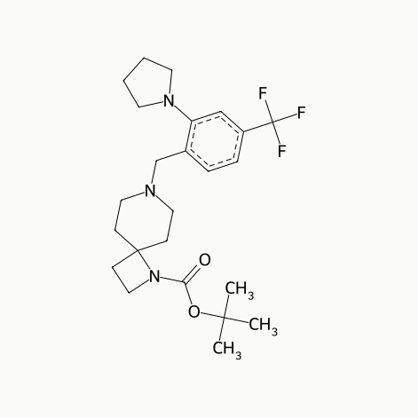 CC(C)(C)OC(=O)N1CCC12CCN(Cc1ccc(C(F)(F)F)cc1N1CCCC1)CC2